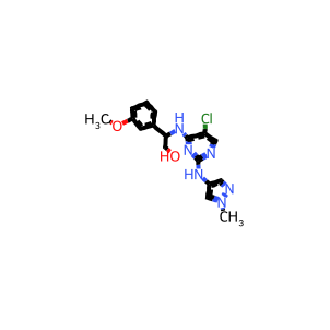 COc1cccc(C(CO)Nc2nc(Nc3cnn(C)c3)ncc2Cl)c1